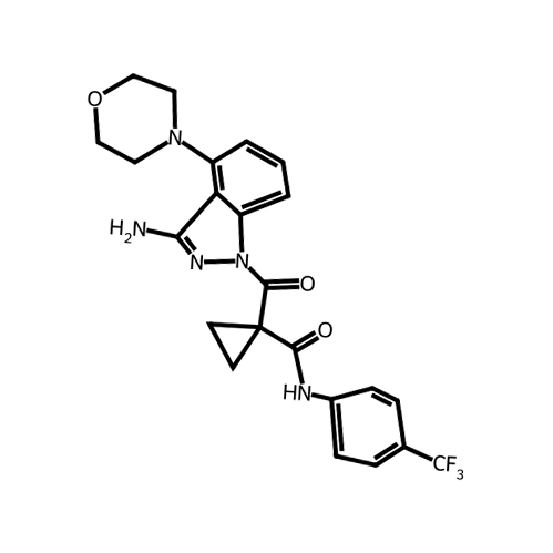 Nc1nn(C(=O)C2(C(=O)Nc3ccc(C(F)(F)F)cc3)CC2)c2cccc(N3CCOCC3)c12